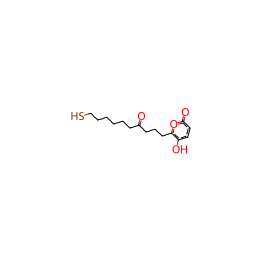 O=C(CCCCCCS)CCCc1oc(=O)ccc1O